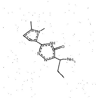 CCC(N)c1nnc(-c2ccc(C)n2C)[nH]c1=O